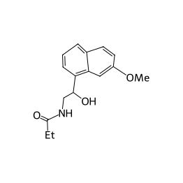 CCC(=O)NCC(O)c1cccc2ccc(OC)cc12